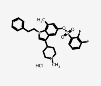 Cc1cc(OS(=O)(=O)c2cccc(F)c2F)cc2c(C3CCN(C)CC3)cn(CCc3ccccc3)c12.Cl